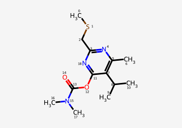 CSCc1nc(C)c(C(C)C)c(OC(=O)N(C)C)n1